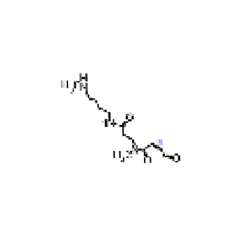 CNCCCCNC(=O)CCN(C)C(=O)/C=C\C=O